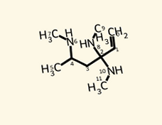 C=CC(CC(C)NC)(NC)NC